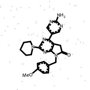 COc1ccc(CN2C(=O)Cc3c(-c4cnc(N)nc4)nc(N4CCCCC4)nc32)cc1